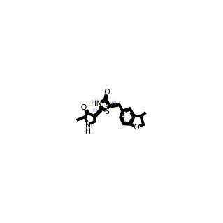 CC1NC/C(=c2/[nH]c(=O)/c(=C/c3ccc4c(c3)C(C)CO4)s2)C1=O